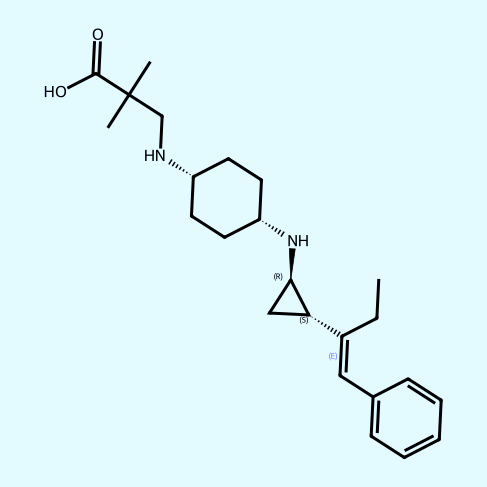 CC/C(=C\c1ccccc1)[C@@H]1C[C@H]1N[C@H]1CC[C@@H](NCC(C)(C)C(=O)O)CC1